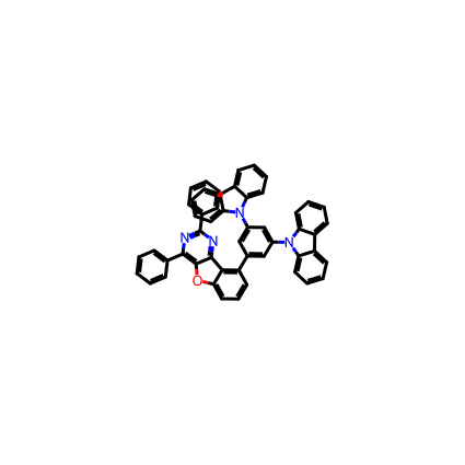 c1ccc(-c2nc(-c3ccccc3)c3oc4cccc(-c5cc(-n6c7ccccc7c7ccccc76)cc(-n6c7ccccc7c7ccccc76)c5)c4c3n2)cc1